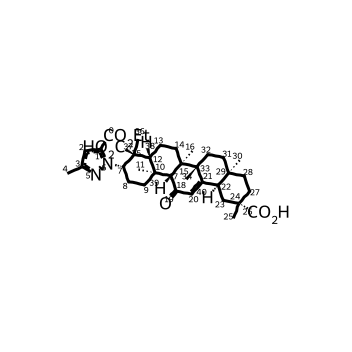 CCOC(=O)c1cc(C)nn1[C@H]1CC[C@@]2(C)[C@@H](CC[C@]3(C)[C@@H]2C(=O)C=C2[C@@H]4C[C@@](C)(C(=O)O)CC[C@]4(C)CC[C@]23C)[C@]1(C)C(=O)O